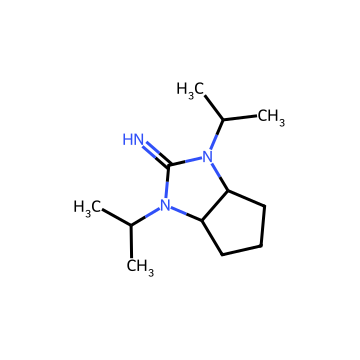 CC(C)N1C(=N)N(C(C)C)C2CCCC21